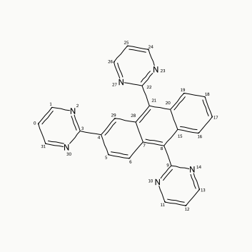 c1cnc(-c2ccc3c(-c4ncccn4)c4ccccc4c(-c4ncccn4)c3c2)nc1